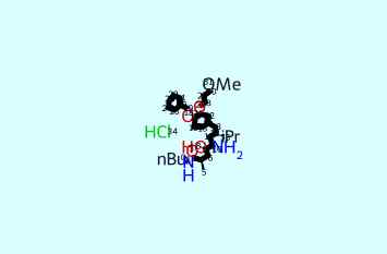 CCCCNC(=O)[C@H](C)C[C@H](O)[C@@H](N)C[C@H](Cc1ccc(OCc2ccccc2)c(OCCCOC)c1)C(C)C.Cl